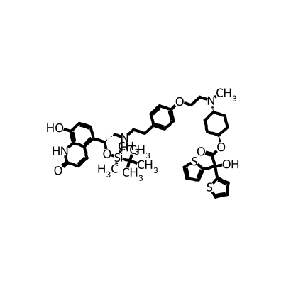 CN(CCOc1ccc(CCNC[C@H](O[Si](C)(C)C(C)(C)C)c2ccc(O)c3[nH]c(=O)ccc23)cc1)[C@H]1CC[C@H](OC(=O)C(O)(c2cccs2)c2cccs2)CC1